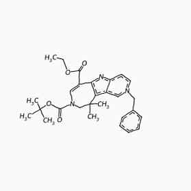 CCOC(=O)C1=CN(C(=O)OC(C)(C)C)CC(C)(C)c2c3cn(Cc4ccccc4)ccc-3nc21